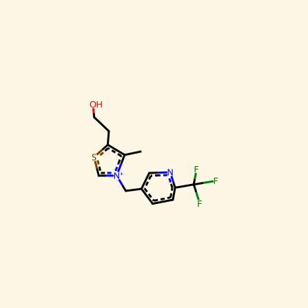 Cc1c(CCO)sc[n+]1Cc1ccc(C(F)(F)F)nc1